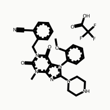 COc1ccccc1-n1c(N2CCNCC2)nc2c1c(=O)n(Cc1ccccc1C#N)c(=O)n2C.O=C(O)C(F)(F)F